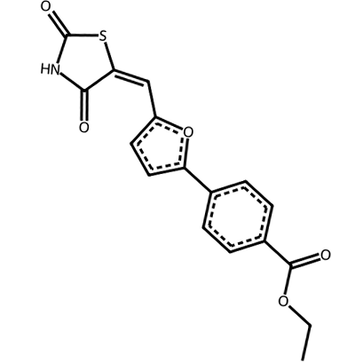 CCOC(=O)c1ccc(-c2ccc(/C=C3/SC(=O)NC3=O)o2)cc1